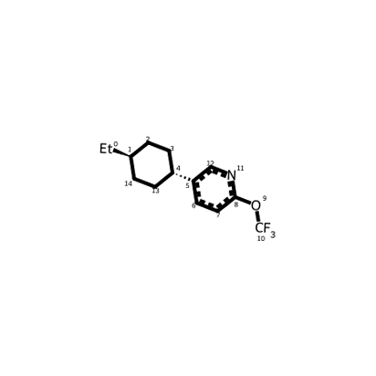 CC[C@H]1CC[C@H](c2ccc(OC(F)(F)F)nc2)CC1